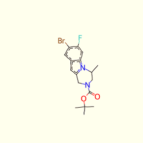 CC1CN(C(=O)OC(C)(C)C)Cc2cc3cc(Br)c(F)cc3n21